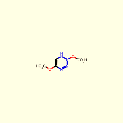 O=C(O)OC1=CNN(OC(=O)O)N=N1